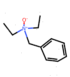 CC[N+]([O-])(CC)Cc1ccccc1